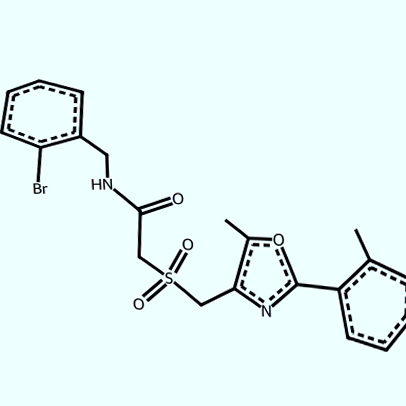 Cc1ccccc1-c1nc(CS(=O)(=O)CC(=O)NCc2ccccc2Br)c(C)o1